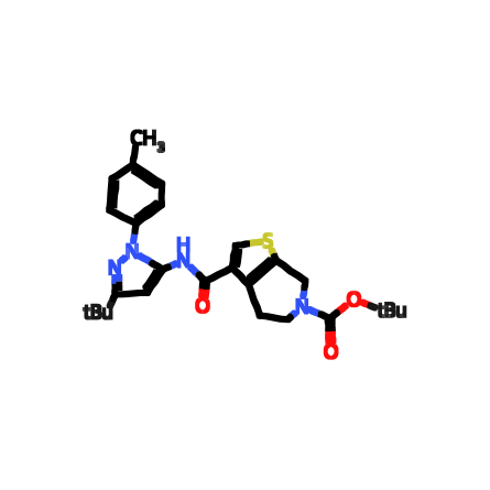 Cc1ccc(-n2nc(C(C)(C)C)cc2NC(=O)c2csc3c2CCN(C(=O)OC(C)(C)C)C3)cc1